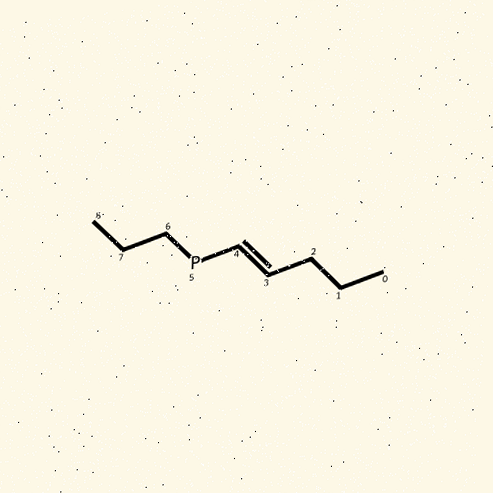 CCC/C=C/[P]CCC